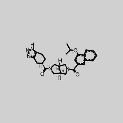 CC(C)Oc1cc(C(=O)N2C[C@H]3CN(C(=O)[C@@H]4CCc5[nH]nnc5C4)C[C@@H]3C2)cc2ccccc12